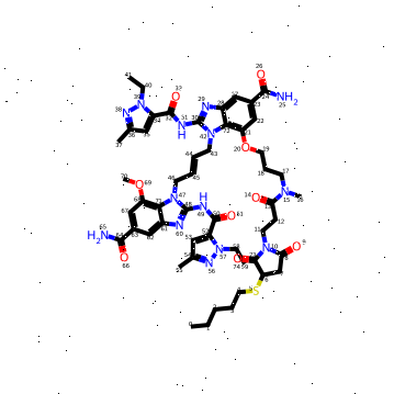 CCCCCSC1CC(=O)N(CCC(=O)N(C)CCCOc2cc(C(N)=O)cc3nc(NC(=O)c4cc(C)nn4CC)n(C/C=C/Cn4c(NC(=O)c5cc(C)nn5CC)nc5cc(C(N)=O)cc(OC)c54)c23)C1=O